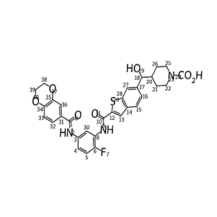 O=C(Nc1ccc(F)c(NC(=O)c2cc3ccc(C(O)C4CCN(C(=O)O)CC4)cc3s2)c1)c1ccc2c(c1)OCCO2